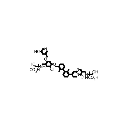 Cc1c(COc2cc(OCc3cncc(C#N)c3)c(CN[C@](C)(CO)C(=O)O)cc2Cl)cccc1-c1cccc(-c2ccn3c(=O)c(CN[C@](C)(CO)C(=O)O)cnc3c2)c1C